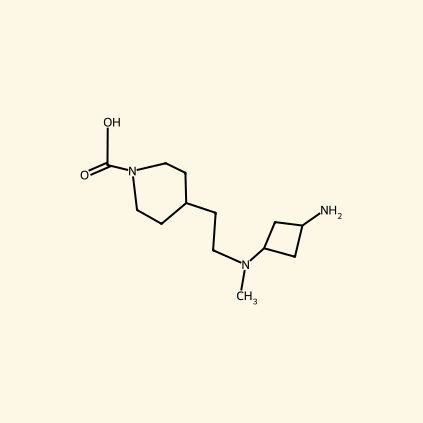 CN(CCC1CCN(C(=O)O)CC1)C1CC(N)C1